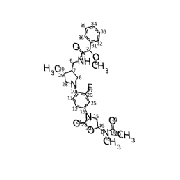 COC(C(=O)NC[C@H]1CN(c2ccc(N3CC(N(C)C(C)=O)OC3=O)cc2F)C[C@@H]1C)c1ccccc1